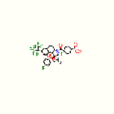 C[C@@H]1CN(C(=O)[C@]2(F)CC[C@@H](C(=O)O)CC2)C2CCc3cc(C(F)(C(F)(F)F)C(F)(F)F)ccc3C21S(=O)(=O)c1ccc(F)cc1